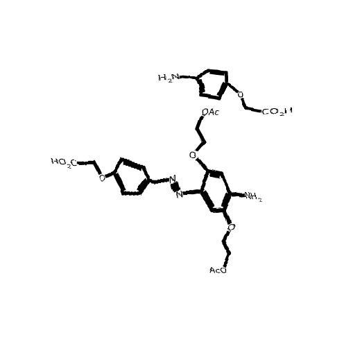 CC(=O)OCCOc1cc(/N=N/c2ccc(OCC(=O)O)cc2)c(OCCOC(C)=O)cc1N.Nc1ccc(OCC(=O)O)cc1